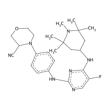 CN1C(C)(C)CC(Nc2nc(Nc3ccc(N4CCOCC4C#N)cc3)ncc2F)CC1(C)C